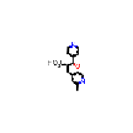 Cc1cc(/C=C(/C(=O)O)C(=O)c2ccncc2)ccn1